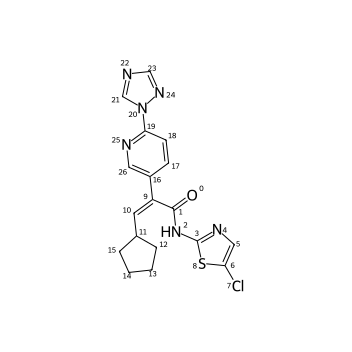 O=C(Nc1ncc(Cl)s1)C(=CC1CCCC1)c1ccc(-n2cncn2)nc1